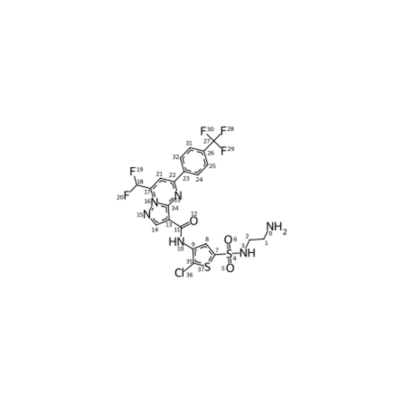 NCCNS(=O)(=O)c1cc(NC(=O)c2cnn3c(C(F)F)cc(-c4ccc(C(F)(F)F)cc4)nc23)c(Cl)s1